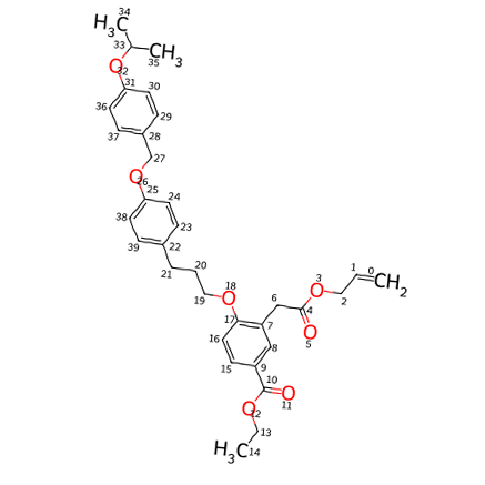 C=CCOC(=O)Cc1cc(C(=O)OCC)ccc1OCCCc1ccc(OCc2ccc(OC(C)C)cc2)cc1